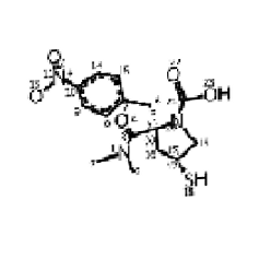 CN(C)C(=O)[C@]1(Cc2ccc([N+](=O)[O-])cc2)C[C@H](S)CN1C(=O)O